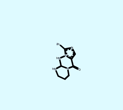 CC(C)c1ncc2n1NC1NCCCN1C2=O